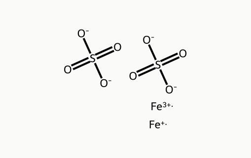 O=S(=O)([O-])[O-].O=S(=O)([O-])[O-].[Fe+3].[Fe+]